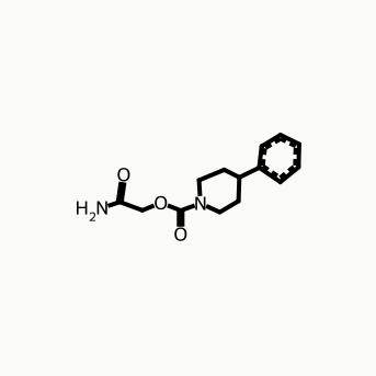 NC(=O)COC(=O)N1CCC(c2ccccc2)CC1